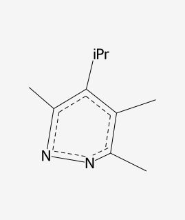 Cc1nnc(C)c(C(C)C)c1C